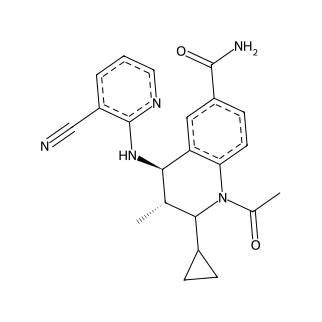 CC(=O)N1c2ccc(C(N)=O)cc2[C@H](Nc2ncccc2C#N)[C@@H](C)C1C1CC1